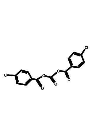 O=C(OC(=O)c1ccc(Cl)cc1)OC(=O)c1ccc(Cl)cc1